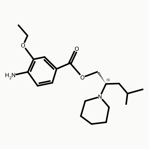 CCOc1cc(C(=O)OC[C@H](CC(C)C)N2CCCCC2)ccc1N